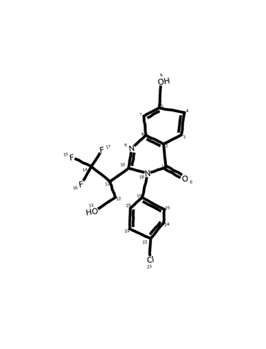 O=c1c2ccc(O)cc2nc(C(CO)C(F)(F)F)n1-c1ccc(Cl)cc1